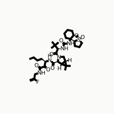 C=C(F)CNC(=O)C(=O)[C@@H](CCCC)NC(=O)[C@@H]1[C@@H]2[C@H](CN1C(=O)[C@@H](NC(=O)NC1([C@@H]3CCCS3(=O)=O)CCCCC1)C(C)(C)C)C2(C)C